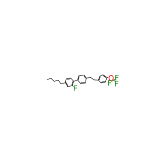 CCCCCc1ccc(-c2ccc(CCc3ccc(OC(F)(F)F)cc3)cc2)c(F)c1